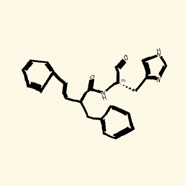 O=[C][C@H](Cc1c[nH]cn1)NC(=O)C(C=Cc1ccccc1)Cc1ccccc1